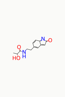 CC(O)C(=O)NCCc1ccc2c(c1)=CC(=O)N=2